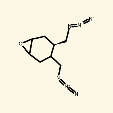 [N-]=[N+]=NCC1CC2OC2C[C@H]1CN=[N+]=[N-]